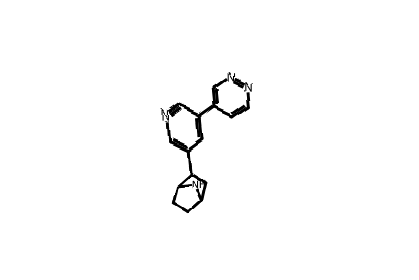 c1cc(-c2cncc(C3CC4CCC3N4)c2)cnn1